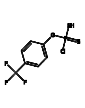 FC(F)(F)c1ccc(OP(=S)(S)Cl)cc1